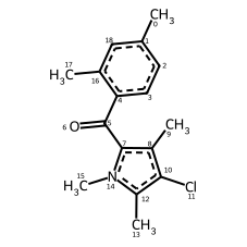 Cc1ccc(C(=O)c2c(C)c(Cl)c(C)n2C)c(C)c1